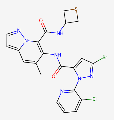 Cc1cc2ccnn2c(C(=O)NC2CSC2)c1NC(=O)c1cc(Br)nn1-c1ncccc1Cl